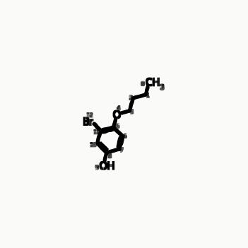 CCCCOc1ccc(O)cc1Br